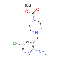 CC(C)(C)OC(=O)N1CCN(Cc2cc(Cl)cnc2N)CC1